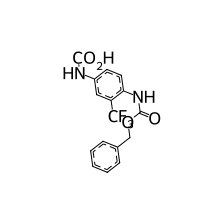 O=C(O)Nc1ccc(NC(=O)OCc2ccccc2)c(C(F)(F)F)c1